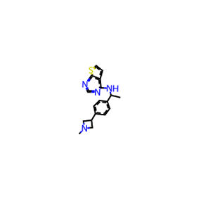 CC(Nc1ncnc2sccc12)c1ccc(C2CN(C)C2)cc1